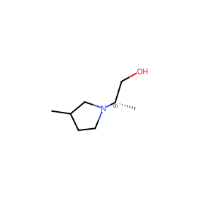 CC1CCN([C@@H](C)CO)C1